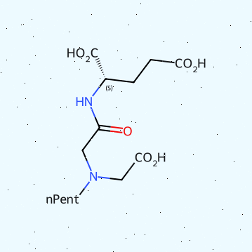 CCCCCN(CC(=O)O)CC(=O)N[C@@H](CCC(=O)O)C(=O)O